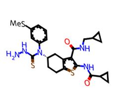 CSc1cccc(N(C(=S)NN)[C@H]2CCc3sc(NC(=O)C4CC4)c(C(=O)NCC4CC4)c3C2)c1